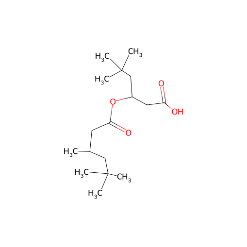 CC(CC(=O)OC(CC(=O)O)CC(C)(C)C)CC(C)(C)C